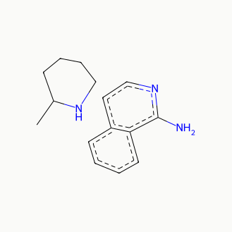 CC1CCCCN1.Nc1nccc2ccccc12